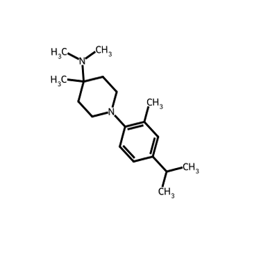 Cc1cc(C(C)C)ccc1N1CCC(C)(N(C)C)CC1